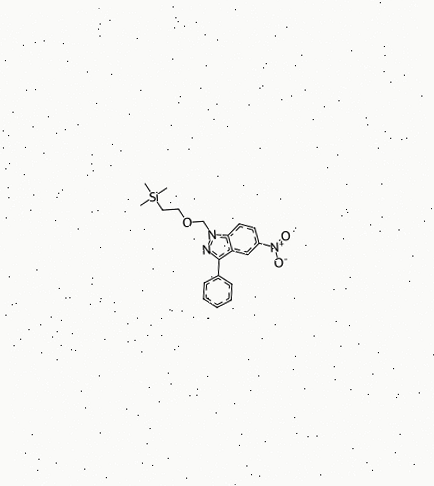 C[Si](C)(C)CCOCn1nc(-c2ccccc2)c2cc([N+](=O)[O-])ccc21